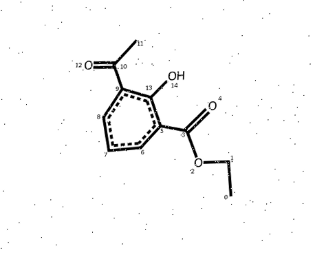 C[CH]OC(=O)c1cccc(C(C)=O)c1O